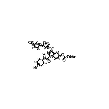 COC(=O)Oc1ccc2c(C(=O)NC3CCN(C(C)C)CC3)nn(Cc3cc(-c4ccc(Cl)s4)on3)c2c1